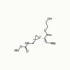 C#C/C=C(\C(=C)OCCO)[C@H]1C[C@@H]1CNC(=O)OC(C)(C)C